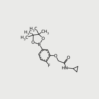 CC1(C)OB(c2ccc(F)c(OCC(=O)NC3CC3)c2)OC1(C)C